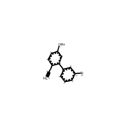 C#Cc1ccc(OC)cc1-c1cccc(Br)c1